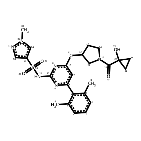 Cc1cccc(C)c1-c1cc(OC2CCN(C(=O)C3(O)CC3)C2)nc(NS(=O)(=O)c2cnn(C)c2)n1